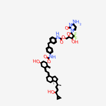 C=C1/C(=C\C=C2/CCC[C@@]3(C)C2CCC3[C@@H](C)/C=C/C(O)C2CC2)C[C@@H](O)C[C@@H]1OC(=O)Nc1ccc(Cc2ccc(NC(=O)OCC3OC(n4ccc(N)nc4=O)C(F)(F)C3O)cc2)cc1